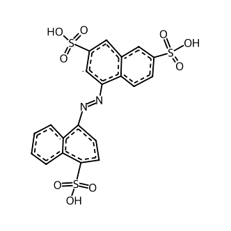 O=S(=O)(O)c1[c]c(N=Nc2ccc(S(=O)(=O)O)c3ccccc23)c2ccc(S(=O)(=O)O)cc2c1